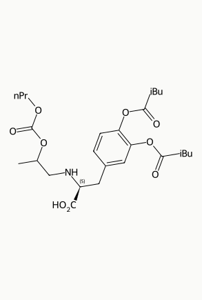 CCCOC(=O)OC(C)CN[C@@H](Cc1ccc(OC(=O)C(C)CC)c(OC(=O)C(C)CC)c1)C(=O)O